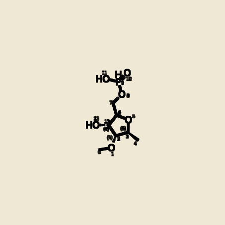 CO[C@H]1[C@H](C)OC(CO[PH](=O)O)[C@H]1O